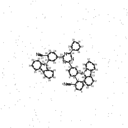 N#Cc1ccccc1-c1ccc(-c2nc(-c3ccccc3)nc(-c3ccc(C#N)c(-n4c5ccccc5c5ccccc54)c3)n2)cc1-n1c2ccccc2c2ccccc21